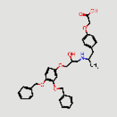 CC(Cc1ccc(OCC(=O)O)cc1)NCC(O)COc1ccc(OCc2ccccc2)c(OCc2ccccc2)c1